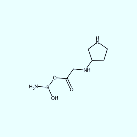 NB(O)OC(=O)CNC1CCNC1